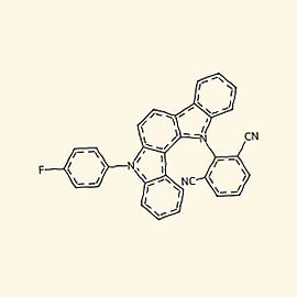 N#Cc1cccc(C#N)c1-n1c2ccccc2c2ccc3c(c4ccccc4n3-c3ccc(F)cc3)c21